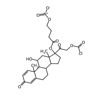 CC12C=CC(=O)C=C1CCC1C2C(O)CC2(C)C1CCC2(OC(=O)CCCO[N+](=O)[O-])C(=O)COC(=O)Cl